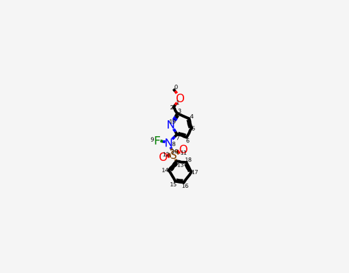 COCc1cccc(N(F)S(=O)(=O)c2ccccc2)n1